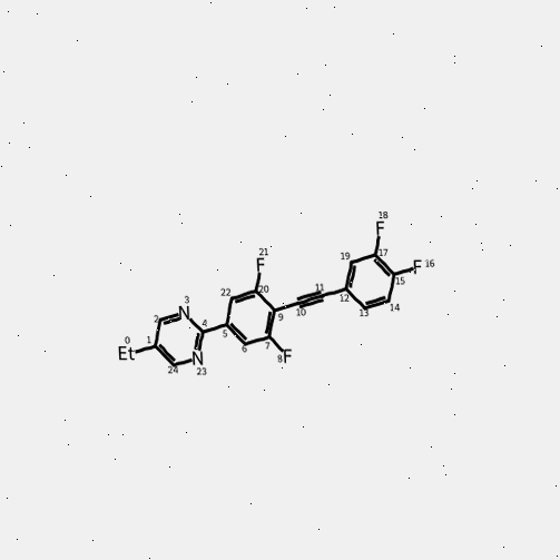 CCc1cnc(-c2cc(F)c(C#Cc3ccc(F)c(F)c3)c(F)c2)nc1